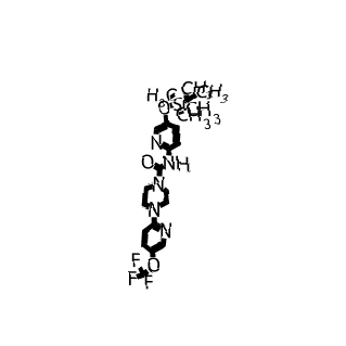 CC(C)(C)[Si](C)(C)Oc1ccc(NC(=O)N2CCN(c3ccc(OC(F)(F)F)cn3)CC2)nc1